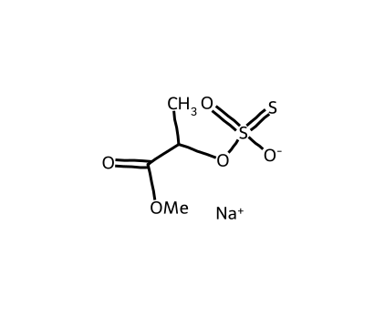 COC(=O)C(C)OS(=O)([O-])=S.[Na+]